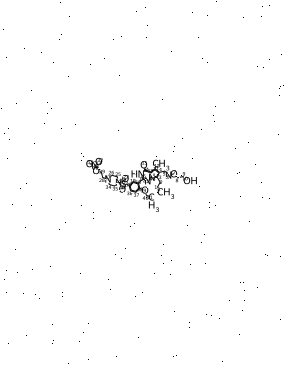 CCCc1c(C=NOCCO)c(C)c2c(=O)[nH]c(-c3cc(S(=O)(=O)N4CCN(CCO[N+](=O)[O-])CC4)ccc3OCC)nn12